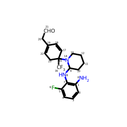 Nc1cccc(F)c1NC1CCCCN1C1(C(F)(F)F)C=CC(CC=O)=CC1